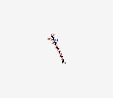 C#CCOCCOCCOCCOCCC(=O)N[C@H](CO)CCO